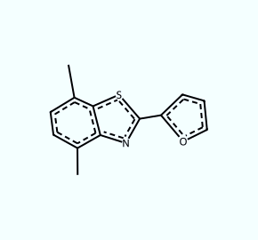 Cc1ccc(C)c2sc(-c3ccco3)nc12